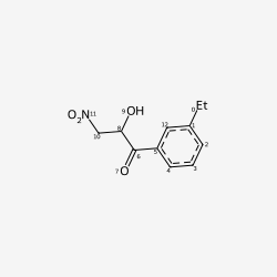 CCc1cccc(C(=O)C(O)C[N+](=O)[O-])c1